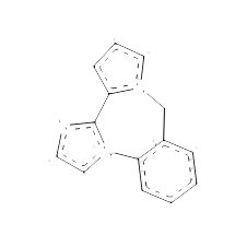 c1ccc2c(c1)Cn1cccc1-c1nccn1-2